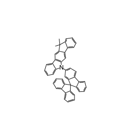 CC1(C)c2ccccc2-c2cc3c(cc21)c1ccccc1n3-c1ccc2c(c1)C1(c3ccccc3-c3ccccc31)c1ccccc1-2